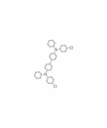 Clc1ccc(N(c2ccccc2)c2ccc(-c3ccc(N(c4ccccc4)c4ccc(Cl)cc4)cc3)cc2)cc1